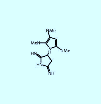 CNC1=CC(NC)=C(NC)[SH]1C1CC(=N)NC1=N